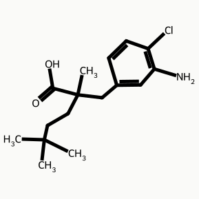 CC(C)(C)CCC(C)(Cc1ccc(Cl)c(N)c1)C(=O)O